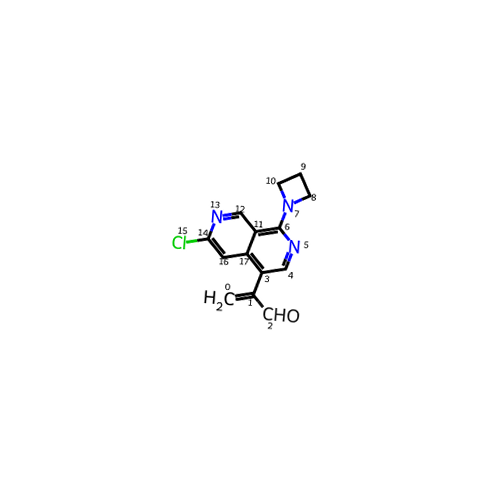 C=C(C=O)c1cnc(N2CCC2)c2cnc(Cl)cc12